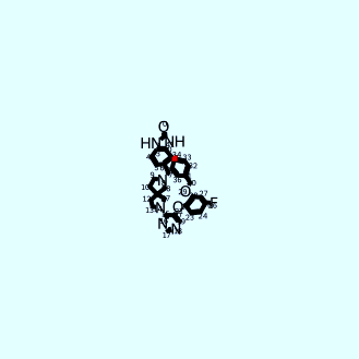 O=c1[nH]c2ccc(CN3CCC4(CCN(c5ncncc5Oc5ccc(F)cc5OCc5ccccc5)C4)C3)cc2[nH]1